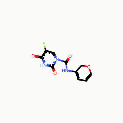 O=C(NC1=CC=COC1)n1cc(F)c(=O)[nH]c1=O